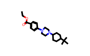 CCOC(=O)c1ccc(N2CCN(C3CCC(C(C)(C)C)CC3)CC2)cc1